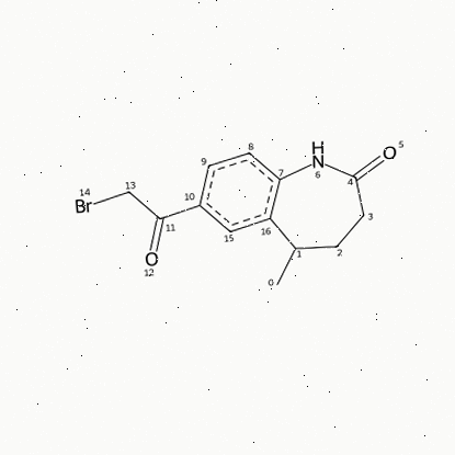 CC1CCC(=O)Nc2ccc(C(=O)CBr)cc21